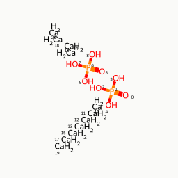 O=P(O)(O)O.O=P(O)(O)O.[CaH2].[CaH2].[CaH2].[CaH2].[CaH2].[CaH2].[CaH2].[CaH2].[CaH2].[CaH2].[CaH2]